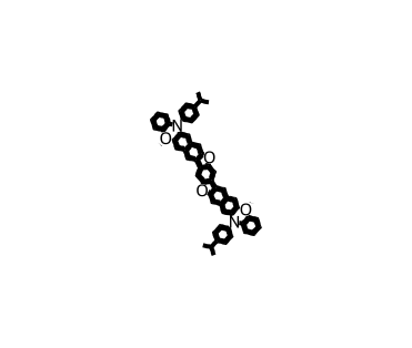 COc1ccccc1N(c1ccc(C(C)C)cc1)c1ccc2cc3c(cc2c1)oc1cc2c(cc13)oc1cc3cc(N(c4ccc(C(C)C)cc4)c4ccccc4OC)ccc3cc12